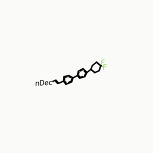 CCCCCCCCCC/C=C/c1ccc(-c2ccc(C3CCC(F)(F)CC3)cc2)cc1